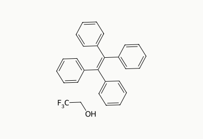 OCC(F)(F)F.c1ccc(C(=C(c2ccccc2)c2ccccc2)c2ccccc2)cc1